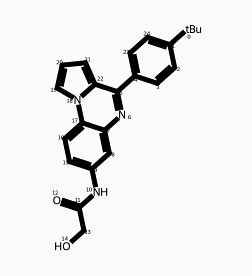 CC(C)(C)c1ccc(-c2nc3cc(NC(=O)CO)ccc3n3cccc23)cc1